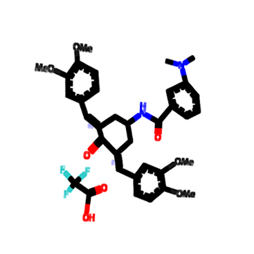 COc1ccc(/C=C2\CC(NC(=O)c3cccc(N(C)C)c3)C/C(=C\c3ccc(OC)c(OC)c3)C2=O)cc1OC.O=C(O)C(F)(F)F